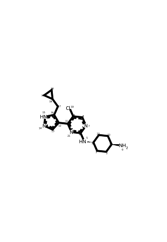 N[C@H]1CC[C@H](Nc2ncc(Cl)c(-c3cn[nH]c3CC3CC3)n2)CC1